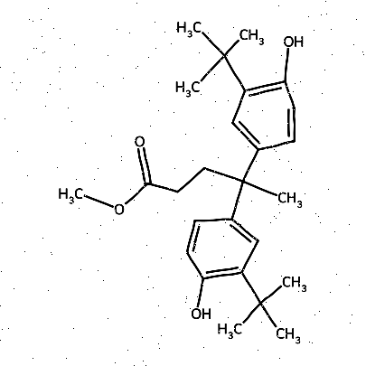 COC(=O)CCC(C)(c1ccc(O)c(C(C)(C)C)c1)c1ccc(O)c(C(C)(C)C)c1